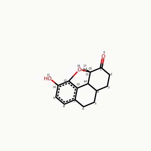 O=C1CCC2CCc3ccc(O)c4c3C2[C@@H]1O4